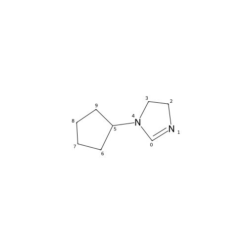 C1=NCCN1C1CCCC1